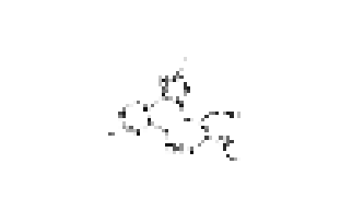 CCN/C(Br)=C(\C=N)Cc1cn(C)nc1-c1ccc(F)cc1CO